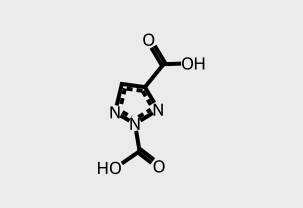 O=C(O)c1cnn(C(=O)O)n1